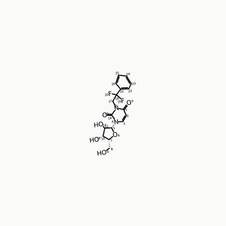 O=c1ccn([C@@H]2O[C@H](CO)[C@H](O)C2O)c(=O)n1CC(F)(F)c1ccccc1